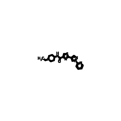 CCN1CCC(NC(=O)c2csc(-c3cnn(-c4ccccn4)c3)n2)CC1